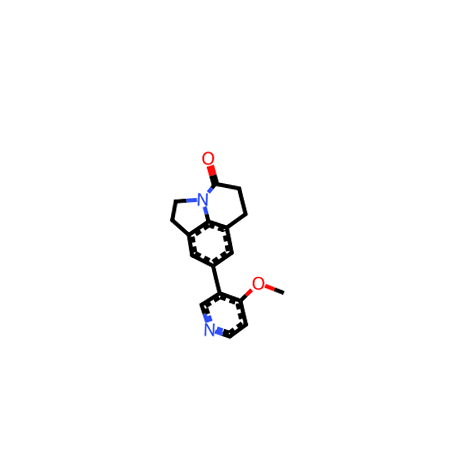 COc1ccncc1-c1cc2c3c(c1)CCN3C(=O)CC2